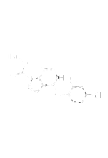 CC(C)(C)OC(=O)n1ccc2c(Oc3ccc(Cl)cc3O)cccc21